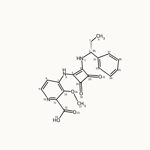 CC[C@@H](Nc1c(Nc2ccnc(C(=O)O)c2OC)c(=O)c1=O)c1ccccc1